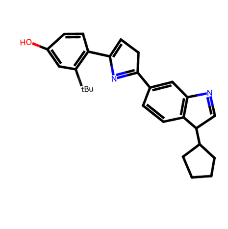 CC(C)(C)c1cc(O)ccc1C1=CCC(c2ccc3c(c2)N=CC3C2CCCC2)=N1